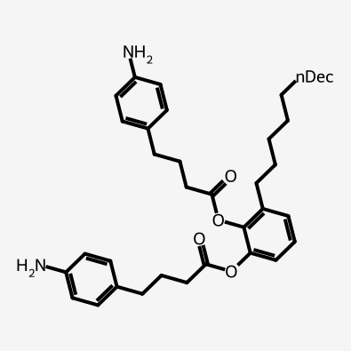 CCCCCCCCCCCCCCCc1cccc(OC(=O)CCCc2ccc(N)cc2)c1OC(=O)CCCc1ccc(N)cc1